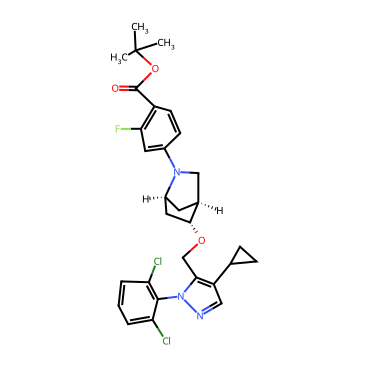 CC(C)(C)OC(=O)c1ccc(N2C[C@@H]3C[C@H]2C[C@H]3OCc2c(C3CC3)cnn2-c2c(Cl)cccc2Cl)cc1F